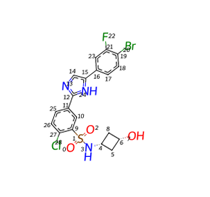 O=S(=O)(N[C@H]1C[C@@H](O)C1)c1cc(-c2ncc(-c3ccc(Br)c(F)c3)[nH]2)ccc1Cl